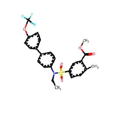 CCN(c1ccc(-c2ccc(OC(F)(F)F)cc2)cc1)S(=O)(=O)c1ccc(C)c(C(=O)OC)c1